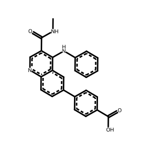 CNC(=O)c1cnc2ccc(-c3ccc(C(=O)O)cc3)cc2c1Nc1ccccc1